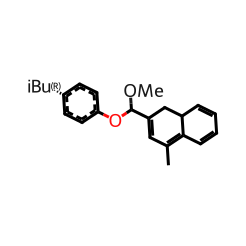 CC[C@@H](C)c1ccc(OC(OC)C2=CC(C)=C3C=CC=CC3C2)cc1